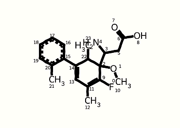 COC1(C(N)CC(=O)O)C(F)=C(C)C=C(c2ccccc2C)C1C